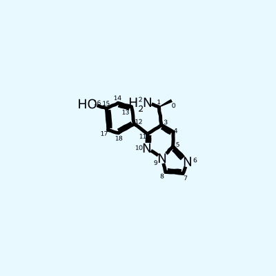 C[C@H](N)c1cc2nccn2nc1-c1ccc(O)cc1